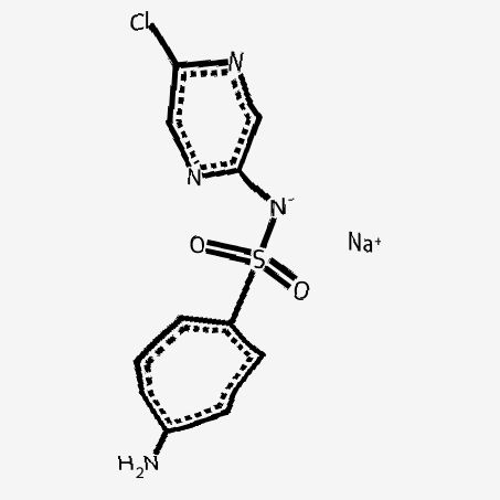 Nc1ccc(S(=O)(=O)[N-]c2cnc(Cl)cn2)cc1.[Na+]